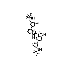 CC(C)C(=O)Nc1cncc(-c2ccc3[nH]nc(-c4nc5c(-c6cc(F)cc(CNS(C)(=O)=O)c6)cccc5[nH]4)c3n2)c1